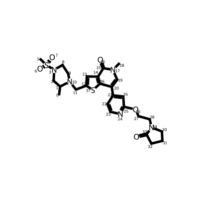 CC1CN(S(C)(=O)=O)CCN1Cc1cc2c(=O)n(C)cc(-c3ccnc(OCCN4CCCC4=O)c3)c2s1